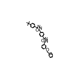 CC(C)(C)c1ccc(-c2nnc(-c3ccc(-c4nnc(-c5cccc(OCC6CC7C=CC6C7)c5)o4)cc3)o2)cc1